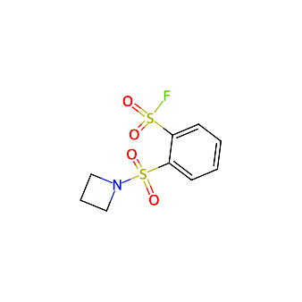 O=S(=O)(F)c1ccccc1S(=O)(=O)N1CCC1